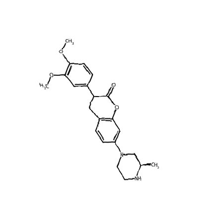 COc1ccc(C2Cc3ccc(N4CCN[C@H](C)C4)cc3OC2=O)cc1OC